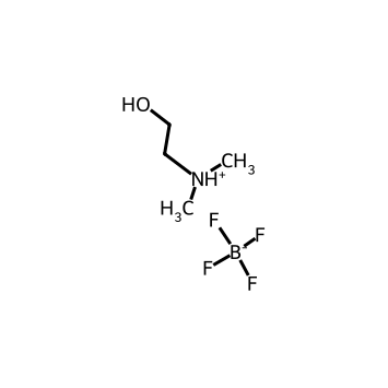 C[NH+](C)CCO.F[B-](F)(F)F